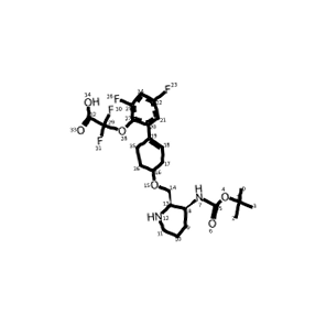 CC(C)(C)OC(=O)N[C@H]1CCCN[C@H]1COC1CC=C(c2cc(F)cc(F)c2OC(F)(F)C(=O)O)CC1